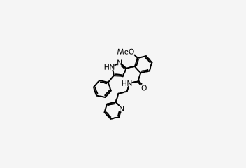 COc1cccc(C(=O)NCCc2ccccn2)c1-c1cc(-c2ccccc2)[nH]n1